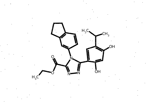 CCOC(=O)c1nnc(-c2cc(C(C)C)c(O)cc2O)n1-c1ccc2c(c1)CCC2